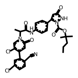 CCCC(C)(C)OC(=O)n1[nH]c(=O)cc1-c1ccc(NC(=O)C(C)n2cc(Cl)c(-c3cc(Cl)ccc3C#N)cc2=O)cc1